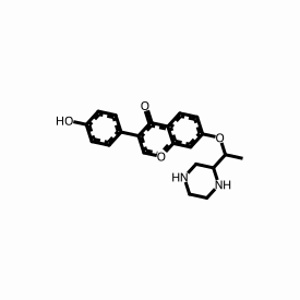 CC(Oc1ccc2c(=O)c(-c3ccc(O)cc3)coc2c1)C1CNCCN1